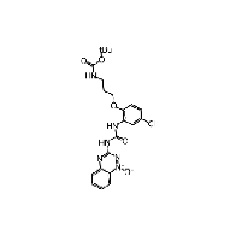 CC(C)(C)OC(=O)NCCCOc1ccc(Cl)cc1NC(=O)Nc1nc2ccccc2[n+]([O-])n1